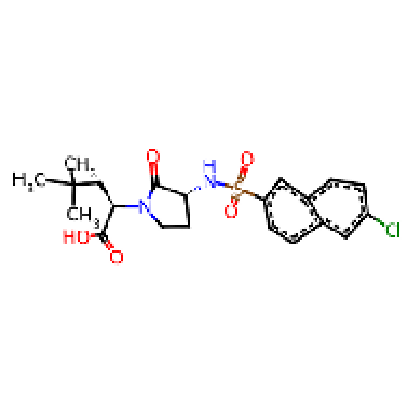 CC(C)(C)C[C@H](C(=O)O)N1CC[C@@H](NS(=O)(=O)c2ccc3cc(Cl)ccc3c2)C1=O